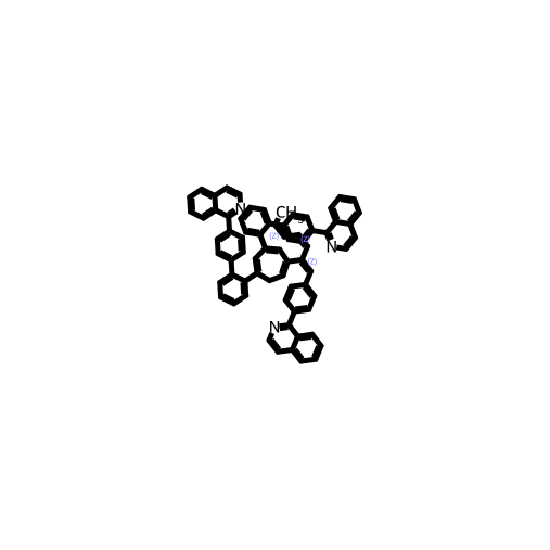 C\C=C/C=C\C(=C\c1ccc(-c2nccc3ccccc23)cc1)C1=CCC(c2ccccc2-c2ccc(-c3nccc4ccccc34)cc2)=CC(c2ccccc2-c2ccc(-c3nccc4ccccc34)cc2)=C1